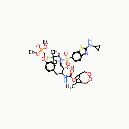 CCOP(=O)(COc1ccc(C[C@H](NC(=O)OC2C3COOCC2C(C)C3)[C@H](O)CN(CC(C)(C)F)S(=O)(=O)c2ccc3nc(NC4CC4)sc3c2)cc1)OCC